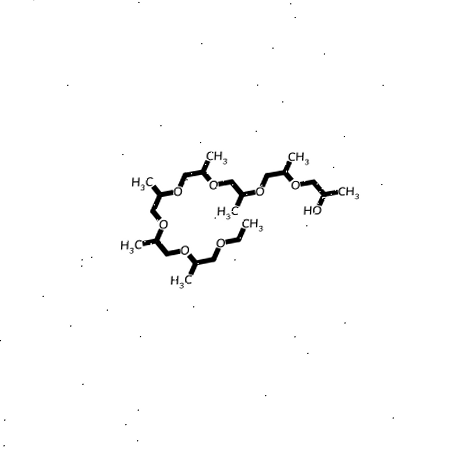 CCOCC(C)OCC(C)OCC(C)OCC(C)OCC(C)OCC(C)OCC(C)O